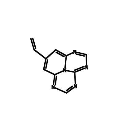 C=CC1=CC2=NC=NC3=NC=NC(=C1)N23